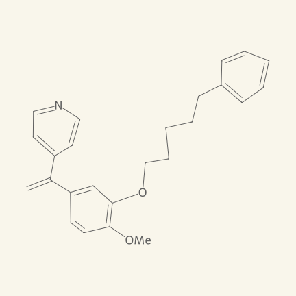 C=C(c1ccncc1)c1ccc(OC)c(OCCCCCc2ccccc2)c1